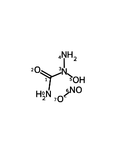 NC(=O)N(N)O.O=[NH+][O-]